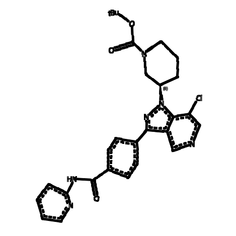 CC(C)(C)OC(=O)N1CCC[C@@H](n2nc(-c3ccc(C(=O)Nc4ccccn4)cc3)c3cncc(Cl)c32)C1